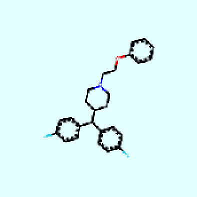 Fc1ccc(C(c2ccc(F)cc2)C2CCN(CCOc3ccccc3)CC2)cc1